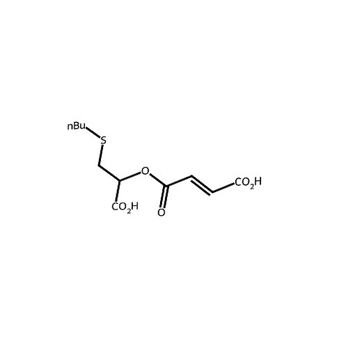 CCCCSCC(OC(=O)C=CC(=O)O)C(=O)O